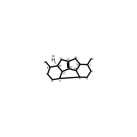 CC1CCC2C3CCC(C)[C@H]4CC5=C(C2C1C5)C34